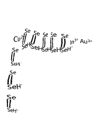 [Au+3].[Cu+2].[In+3].[Se]=[SeH-].[Se]=[SeH-].[Se]=[SeH-].[Se]=[SeH-].[Se]=[SeH-].[Se]=[SeH-].[Se]=[SeH-].[Se]=[SeH-]